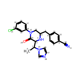 CC(C1NC(Cc2ccc(C#N)cc2)CN(c2cccc(Cl)c2)C1=O)n1ccnc1